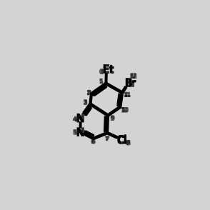 CCc1cc2nncc(Cl)c2cc1Br